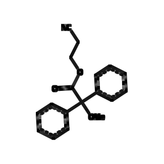 COC(C(=O)OCCC#N)(c1ccccc1)c1ccccc1